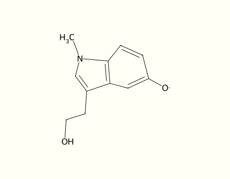 Cn1cc(CCO)c2cc([O])ccc21